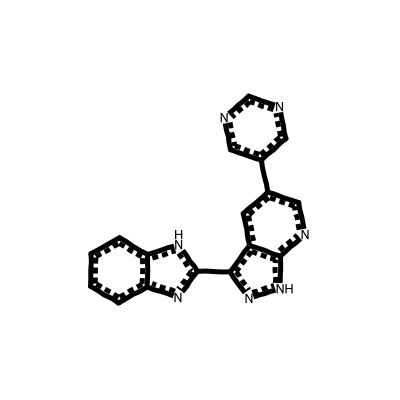 c1ccc2[nH]c(-c3n[nH]c4ncc(-c5cncnc5)cc34)nc2c1